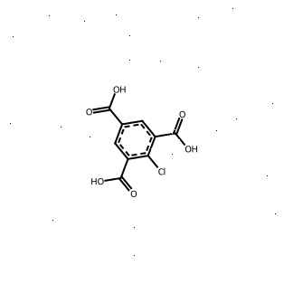 O=C(O)c1cc(C(=O)O)c(Cl)c(C(=O)O)c1